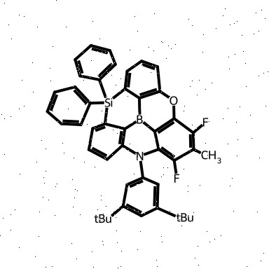 Cc1c(F)c2c3c(c1F)N(c1cc(C(C)(C)C)cc(C(C)(C)C)c1)c1cccc4c1B3c1c(cccc1[Si]4(c1ccccc1)c1ccccc1)O2